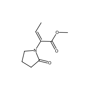 CC=C(C(=O)OC)N1CCCC1=O